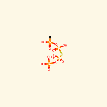 CP(=O)(O)OP(=O)(O)SP(=O)(O)OP(=O)(O)O